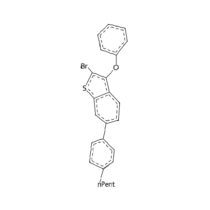 CCCCCc1ccc(-c2ccc3c(Oc4ccccc4)c(Br)sc3c2)cc1